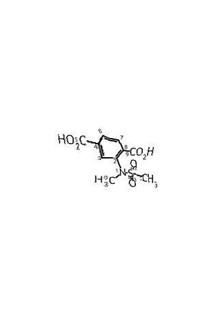 CN(c1cc(C(=O)O)ccc1C(=O)O)S(C)(=O)=O